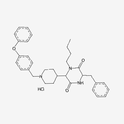 CCCCN1C(=O)C(Cc2ccccc2)NC(=O)C1C1CCN(Cc2ccc(Oc3ccccc3)cc2)CC1.Cl